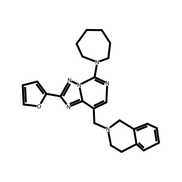 c1coc(-c2nc3c(CN4CCc5ccccc5C4)cnc(N4CCCCCC4)n3n2)c1